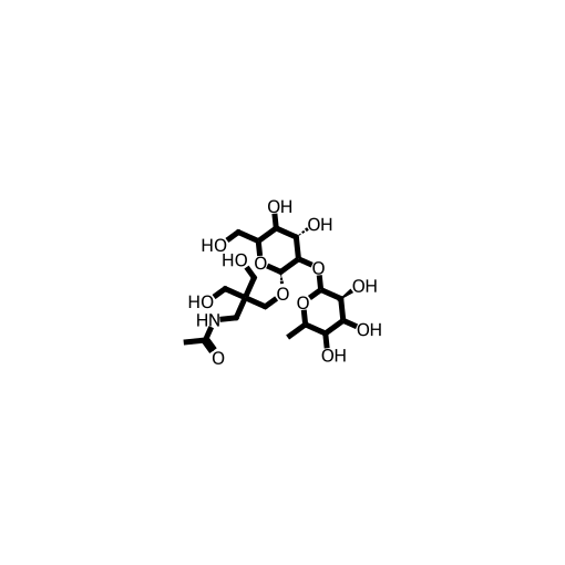 CC(=O)NCC(CO)(CO)CO[C@@H]1OC(CO)C(O)[C@H](O)C1OC1OC(C)C(O)C(O)[C@@H]1O